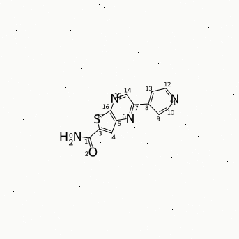 NC(=O)c1cc2nc(-c3ccncc3)cnc2s1